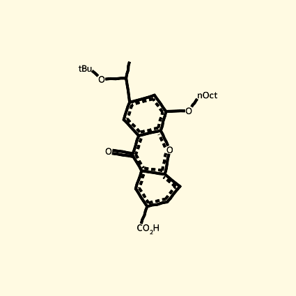 CCCCCCCCOc1cc(C(C)OC(C)(C)C)cc2c(=O)c3cc(C(=O)O)ccc3oc12